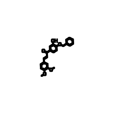 COc1ccc(/C=C/C(=O)c2ccc(OCc3ccccc3)c(O)c2)cc1OC